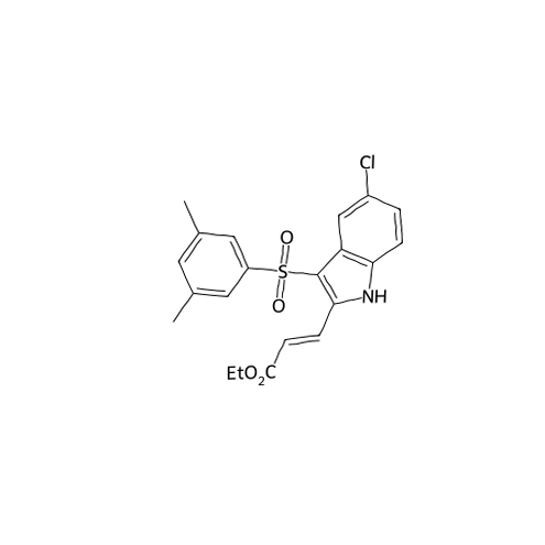 CCOC(=O)C=Cc1[nH]c2ccc(Cl)cc2c1S(=O)(=O)c1cc(C)cc(C)c1